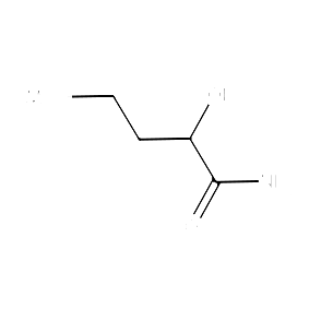 COCCC(O)C(N)=O